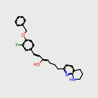 OC(=C\CCCc1ccc2c(n1)NCCC2)/C=C/c1ccc(OCc2ccccc2)c(F)c1